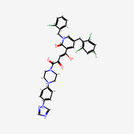 O=C(C=C(O)c1cc(Cc2c(F)cc(F)cc2F)cn(Cc2ccccc2F)c1=O)C(=O)N1CCN(c2ccc(-n3cncn3)cc2)CC1